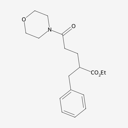 CCOC(=O)C(CCC(=O)N1CCOCC1)Cc1ccccc1